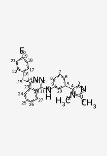 Cc1ncc(-c2cccc(Nc3nnc(Cc4ccc(F)cc4)c4ccccc34)c2)n1C